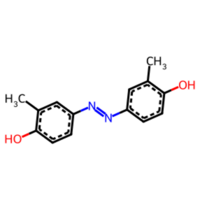 Cc1cc(N=Nc2ccc(O)c(C)c2)ccc1O